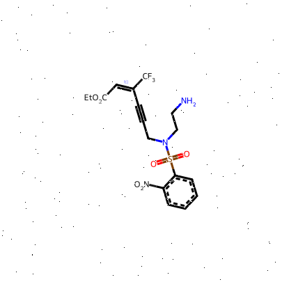 CCOC(=O)/C=C(\C#CCN(CCN)S(=O)(=O)c1ccccc1[N+](=O)[O-])C(F)(F)F